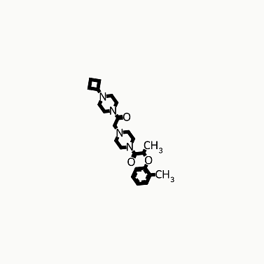 Cc1ccccc1OC(C)C(=O)N1CCN(CC(=O)N2CCN(C3CCC3)CC2)CC1